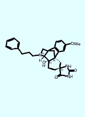 COc1ccc2c(c1)[C@]13CC24CN(CCCc2ccccc2)[C@H]4[C@]1(O)CC[C@@]1(C3)NC(=O)NC1=O